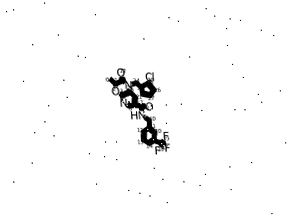 CC1Oc2ncc(C(=O)NCc3cccc(C(F)(F)F)c3)cc2N(CC2C=CC=C2Cl)C1=O